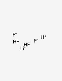 F.F.[F-].[F-].[H+].[Li+]